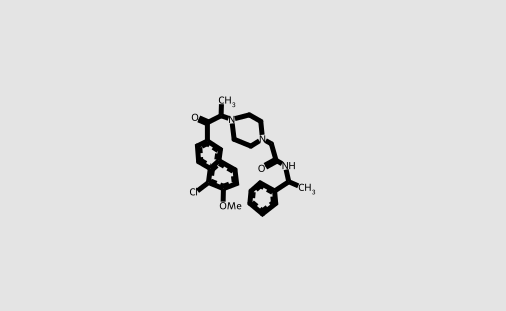 COc1ccc2cc(C(=O)C(C)N3CCN(CC(=O)NC(C)c4ccccc4)CC3)ccc2c1Cl